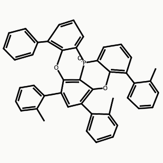 Cc1ccccc1-c1cccc2c1Oc1c(-c3ccccc3C)cc(-c3ccccc3C)c3c1P2(=O)c1cccc(-c2ccccc2)c1O3